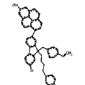 C=Cc1ccc(CCCCC2(Cc3ccc(C=C)cc3)c3cc(Br)ccc3-c3ccc(-c4ccc5ccc6cc(C(C)(C)C)cc7ccc4c5c67)cc32)cc1